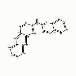 c1ccc2cc(Nc3ccc4cc5ccccc5cc4c3)ccc2c1